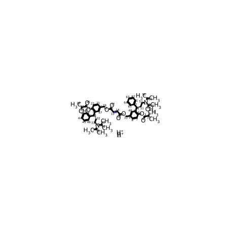 CC(C)C(=O)Oc1ccc(COC(=O)/C=C/C(=O)OCc2ccc(OC(=O)C(C)C)c([C@H](CCN(C(C)C)C(C)C)c3ccccc3)c2)cc1[C@H](CCN(C(C)C)C(C)C)c1ccccc1.[H+].[H+]